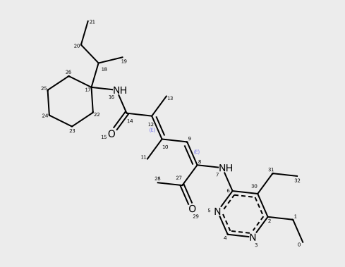 CCc1ncnc(N/C(=C/C(C)=C(\C)C(=O)NC2(C(C)CC)CCCCC2)C(C)=O)c1CC